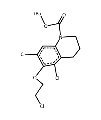 CC(C)(C)OC(=O)N1CCCc2c1cc(Cl)c(OCCCl)c2Cl